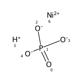 O=P([O-])([O-])[O-].[H+].[Ni+2]